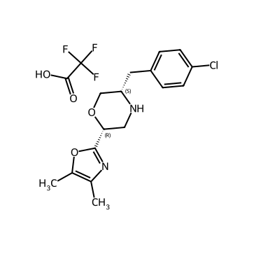 Cc1nc([C@H]2CN[C@@H](Cc3ccc(Cl)cc3)CO2)oc1C.O=C(O)C(F)(F)F